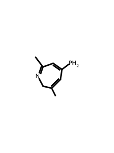 CC1=CC(P)=CC(C)=NC1